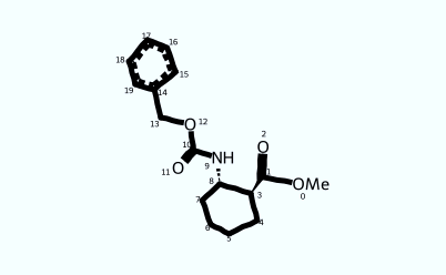 COC(=O)[C@H]1CCCC[C@@H]1NC(=O)OCc1ccccc1